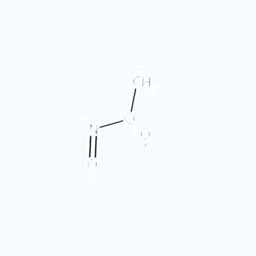 CON=O.[O]